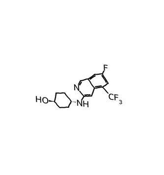 O[C@H]1CC[C@H](Nc2cc3c(C(F)(F)F)cc(F)cc3cn2)CC1